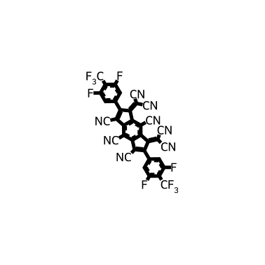 N#CC(C#N)=C1C(c2cc(F)c(C(F)(F)F)c(F)c2)=C(C#N)c2c(C#N)c3c(c(C#N)c21)C(=C(C#N)C#N)C(c1cc(F)c(C(F)(F)F)c(F)c1)=C3C#N